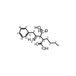 CCCCC(C(=O)O)C(C(N)Cc1ccccc1)[PH](=O)O